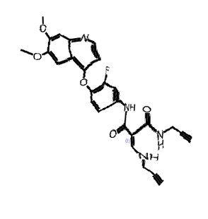 C#CCN/C=C(\C(=O)NCC#C)C(=O)Nc1ccc(Oc2ccnc3cc(OC)c(OC)cc23)c(F)c1